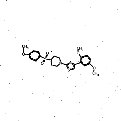 COc1ccc(S(=O)(=O)N2CCN(c3nc(-c4cc(OC)ccc4OC)cs3)CC2)cc1